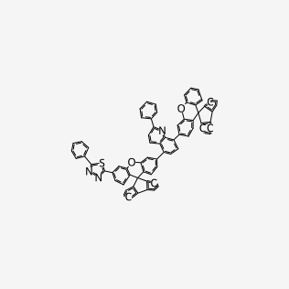 c1ccc(-c2ccc3c(-c4ccc5c(c4)Oc4cc(-c6nnc(-c7ccccc7)s6)ccc4C54c5ccccc5-c5ccccc54)ccc(-c4ccc5c(c4)Oc4ccccc4C54c5ccccc5-c5ccccc54)c3n2)cc1